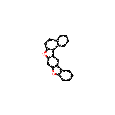 c1ccc2c(c1)ccc1oc3cc4oc5ccccc5c4cc3c12